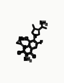 COc1c(N2CC(C)C(C(C)N)C2)c(F)cc2c(=O)n(N)c(=O)n(C3CC3)c12